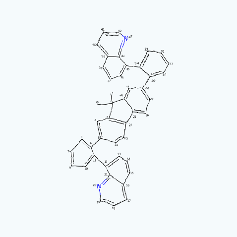 CC1(C)c2cc(-c3ccccc3-c3cccc4cccnc34)ccc2-c2ccc(-c3ccccc3-c3cccc4cccnc34)cc21